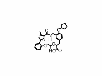 Cc1sc(-c2ccccc2Cl)nc1C(=O)NCc1cc(CC(OC(C)C)C(=O)O)ccc1OC1CCCC1